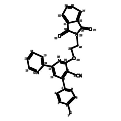 N#Cc1c(-c2ccc(F)cc2)cc(-c2ccccn2)nc1OCCN1C(=O)c2ccccc2C1=O